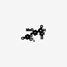 COc1cc(C2CC(=O)Nc3n[nH]cc32)ccc1COc1ccc(Cl)cc1C(F)(F)F